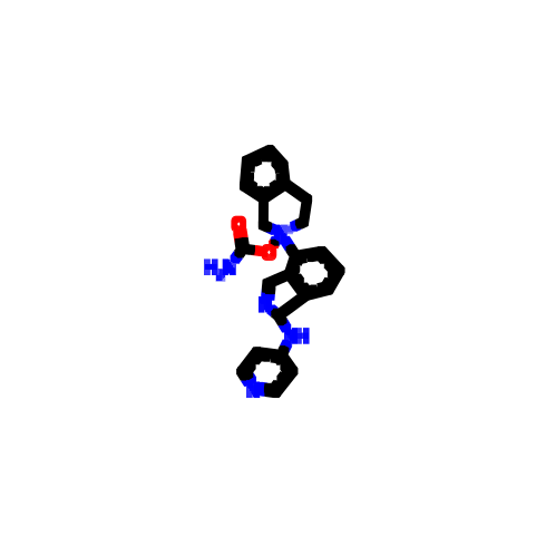 NC(=O)O[N+]1(c2cccc3c2C=NC3Nc2ccncc2)CCc2ccccc2C1